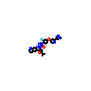 CC(C)c1cc(NC(=O)Nc2ccc(Oc3ccnc(-c4cnn(C)c4)c3)cc2F)c(-c2ccc3ncccc3c2)o1